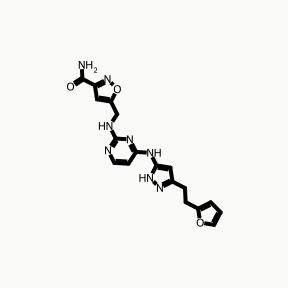 NC(=O)c1cc(CNc2nccc(Nc3cc(CCc4ccco4)n[nH]3)n2)on1